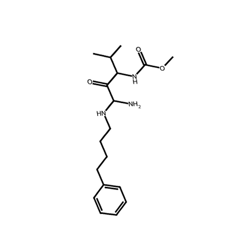 COC(=O)NC(C(=O)C(N)NCCCCc1ccccc1)C(C)C